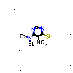 CCN(CC)c1ncnc(S)c1[N+](=O)[O-]